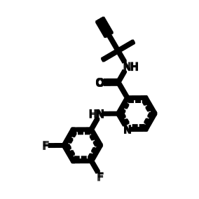 C#CC(C)(C)NC(=O)c1cccnc1Nc1cc(F)cc(F)c1